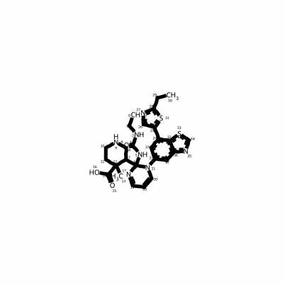 CCNC(=O)NC1(C2CNCCC2(C)C(=O)O)N=CC=CN1c1cc(-c2cnc(CC)s2)c2scnc2c1